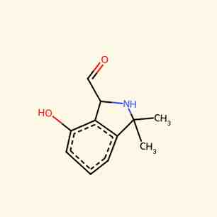 CC1(C)NC(C=O)c2c(O)cccc21